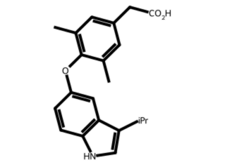 Cc1cc(CC(=O)O)cc(C)c1Oc1ccc2[nH]cc(C(C)C)c2c1